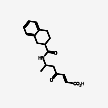 CC(CC(=O)C=CC(=O)O)NC(=O)C1CCc2ccccc2C1